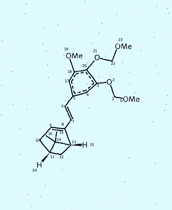 COCOc1cc(C=CC2=CC[C@H]3C[C@@H]2C3(C)C)cc(OC)c1OCOC